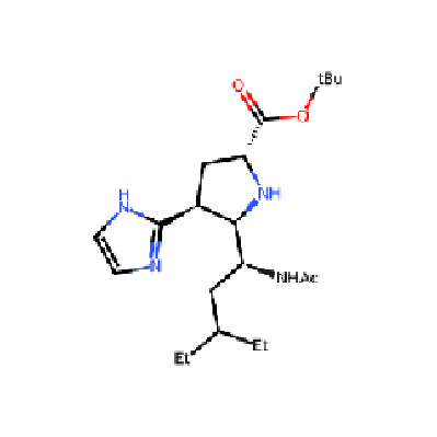 CCC(CC)C[C@H](NC(C)=O)[C@@H]1N[C@@H](C(=O)OC(C)(C)C)C[C@@H]1c1ncc[nH]1